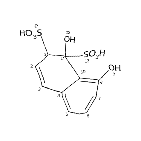 O=S(=O)(O)C1C=Cc2cccc(O)c2C1(O)S(=O)(=O)O